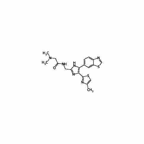 Cc1csc(-c2nc(CNC(=O)CN(C)C)[nH]c2-c2ccc3ncsc3c2)n1